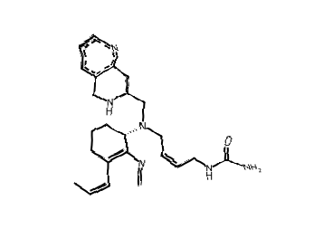 C=NC1=C(/C=C\C)CCC[C@@H]1N(C/C=C\CNC(N)=O)CC1Cc2ncccc2CN1